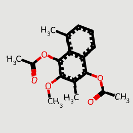 COc1c(C)c(OC(C)=O)c2cccc(C)c2c1OC(C)=O